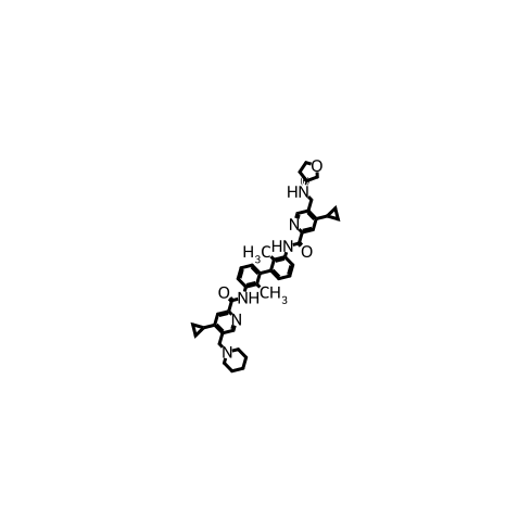 Cc1c(NC(=O)c2cc(C3CC3)c(CN[C@@H]3CCOC3)cn2)cccc1-c1cccc(NC(=O)c2cc(C3CC3)c(CN3CCCCC3)cn2)c1C